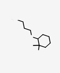 CCCCCCCCCCCCSC1CCCCC1(C)C(=O)O